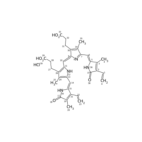 C=CC1=C(C)/C(=C/C2=NC(=C\c3[nH]c(/C=C4\NC(=O)C(C)=C4C=C)c(C)c3CCC(=O)O)/C(CCC(=O)O)=C2C)NC1=O.Cl